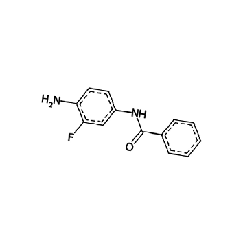 Nc1ccc(NC(=O)c2ccccc2)cc1F